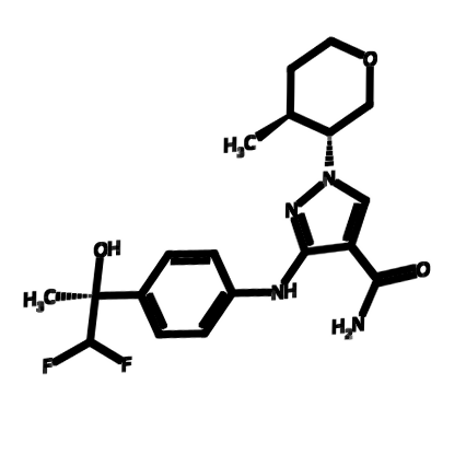 C[C@H]1CCOC[C@@H]1n1cc(C(N)=O)c(Nc2ccc([C@](C)(O)C(F)F)cc2)n1